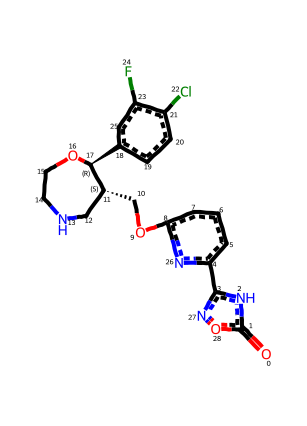 O=c1[nH]c(-c2cccc(OC[C@@H]3CNCCO[C@H]3c3ccc(Cl)c(F)c3)n2)no1